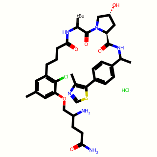 Cc1cc(CCCC(=O)NC(C(=O)N2C[C@H](O)C[C@H]2C(=O)NC(C)c2ccc(-c3scnc3C)cc2)C(C)(C)C)c(Cl)c(OCC(N)CCC(N)=O)c1.Cl